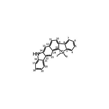 C[Si]1(C)c2ccccc2-c2ccc3cc4[nH]c5ccccc5c4cc3c21